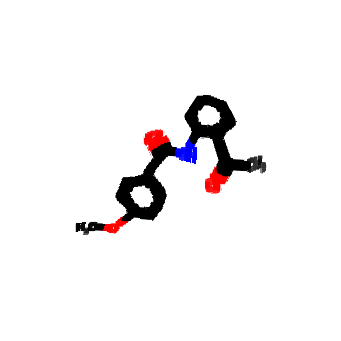 COc1ccc(C(=O)Nc2ccccc2C(C)=O)cc1